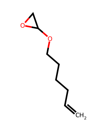 C=CCCCCOC1CO1